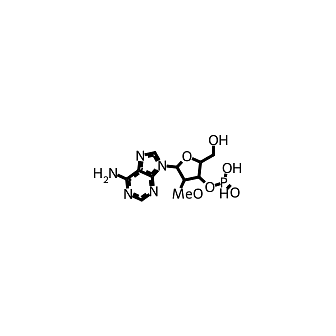 COC1C(O[PH](=O)O)C(CO)OC1n1cnc2c(N)ncnc21